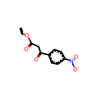 C=COC(=O)CC(=O)c1ccc([N+](=O)[O-])cc1